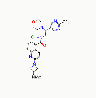 CNC1CN(c2ccc3c(C(=O)NCC(c4cnc(C(F)(F)F)nc4)N4CCOCC4)c(Cl)ccc3n2)C1